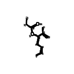 C=C(C)/C(=C\C=C/C)OC(=O)CC